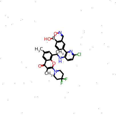 Cc1cc([C@H](C)Nc2ccc(Cl)nc2-c2ccc3c(c2)C=NOB3O)c2oc(N3CCC(F)(F)CC3)c(C)c(=O)c2c1